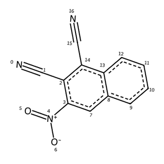 N#Cc1c([N+](=O)[O-])cc2ccccc2c1C#N